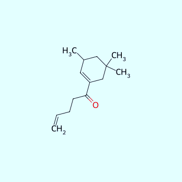 C=CCCC(=O)C1=CC(C)CC(C)(C)C1